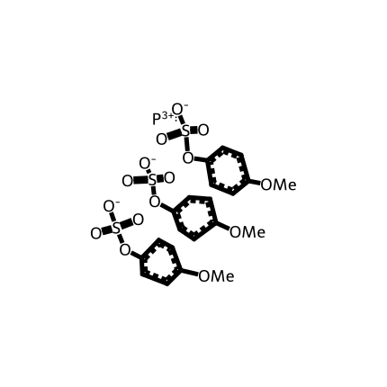 COc1ccc(OS(=O)(=O)[O-])cc1.COc1ccc(OS(=O)(=O)[O-])cc1.COc1ccc(OS(=O)(=O)[O-])cc1.[P+3]